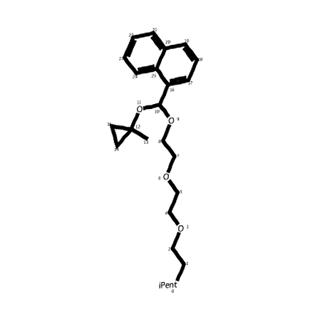 CCCC(C)CCOCCOCCOC(OC1(C)CC1)c1cccc2ccccc12